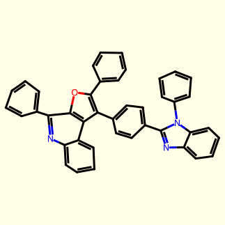 c1ccc(-c2oc3c(-c4ccccc4)nc4ccccc4c3c2-c2ccc(-c3nc4ccccc4n3-c3ccccc3)cc2)cc1